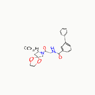 O=C(NCC(=O)N1CC2(C[C@H]1C(=O)O)OCCO2)c1cccc(-c2ccccc2)c1